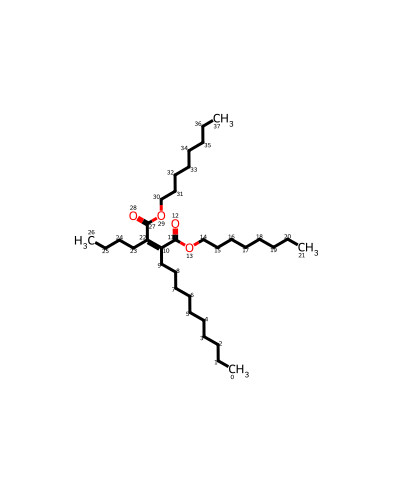 CCCCCCCCCC/C(C(=O)OCCCCCCCC)=C(\CCCC)C(=O)OCCCCCCCC